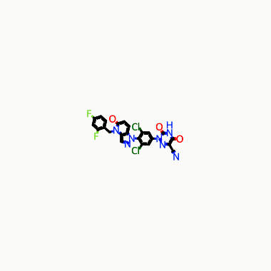 N#Cc1nn(-c2cc(Cl)c(-n3ncc4c3ccc(=O)n4Cc3ccc(F)cc3F)c(Cl)c2)c(=O)[nH]c1=O